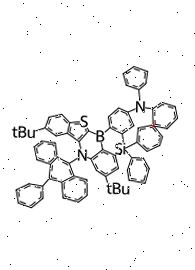 CC(C)(C)c1cc2c3c(c1)[Si](c1ccccc1)(c1ccccc1)c1cc(N(c4ccccc4)c4ccccc4)ccc1B3c1sc3ccc(C(C)(C)C)cc3c1N2c1c2ccccc2c(-c2ccccc2)c2ccccc12